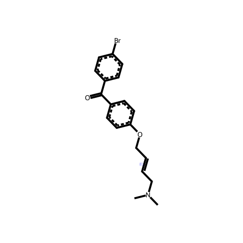 CN(C)C/C=C/COc1ccc(C(=O)c2ccc(Br)cc2)cc1